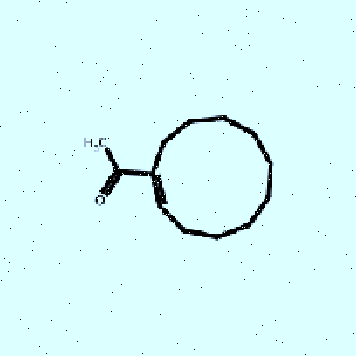 CC(=O)/C1=C/CCCCCCCCC1